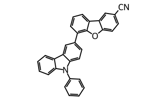 N#Cc1ccc2oc3c(-c4ccc5c(c4)c4ccccc4n5-c4ccccc4)cccc3c2c1